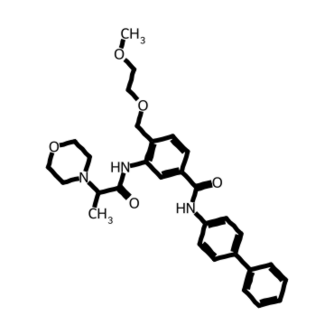 COCCOCc1ccc(C(=O)Nc2ccc(-c3ccccc3)cc2)cc1NC(=O)C(C)N1CCOCC1